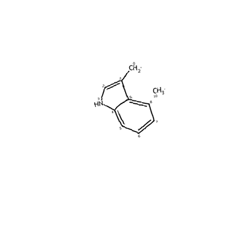 [CH2]c1c[nH]c2ccccc12.[CH3]